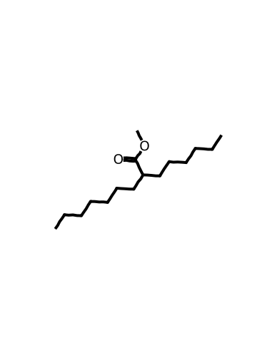 CCCCCCCC(CCCCCC)C(=O)OC